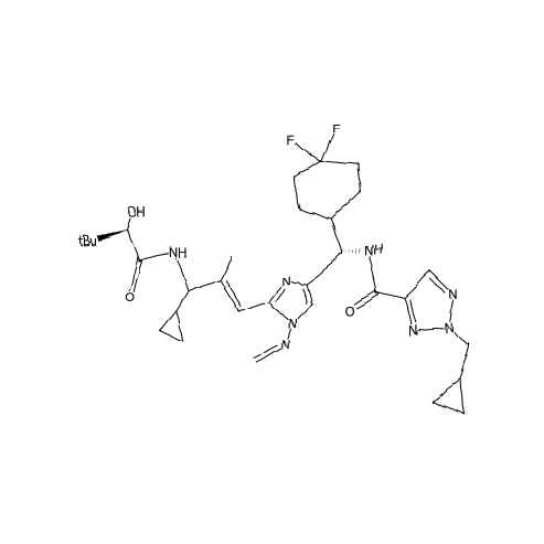 C=Nn1cc([C@@H](NC(=O)c2cnn(CC3CC3)n2)C2CCC(F)(F)CC2)nc1/C=C(\C)C(NC(=O)[C@H](O)C(C)(C)C)C1CC1